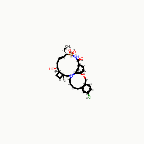 CC[C@H]1/C=C/C[C@H](O)[C@@H]2CC[C@H]2CN2CCCCc3cc(Cl)ccc3COc3ccc(cc32)C(=O)NS1(=O)=O